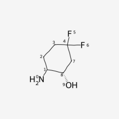 NC1CCC(F)(F)C[C@@H]1O